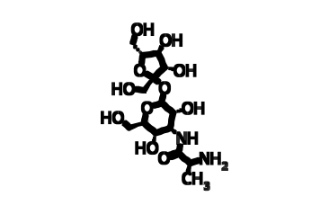 C[C@H](N)C(=O)N[C@@H]1[C@H](O)[C@@H](CO)OC(O[C@]2(CO)O[C@H](CO)[C@@H](O)[C@@H]2O)[C@@H]1O